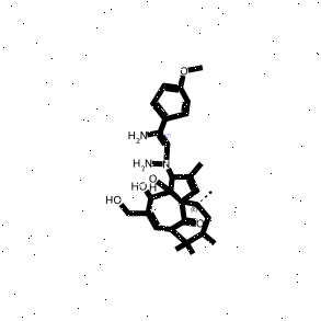 COc1ccc(/C(N)=C/N(N)C2C(C)=CC34C(=O)C(C=C(CO)C(O)C23O)C(C)(C)C(C)C[C@H]4C)cc1